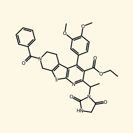 CCOC(=O)c1c(C(C)N2C(=O)CNC2=O)nc2sc3c(c2c1-c1ccc(OC)c(OC)c1)CCN(C(=O)c1ccccc1)C3